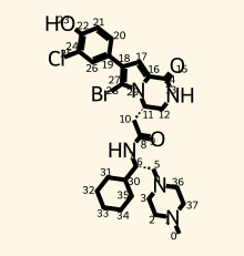 CN1CCN(C[C@@H](NC(=O)C[C@H]2CNC(=O)c3cc(-c4ccc(O)c(Cl)c4)c(Br)n32)C2CCCCC2)CC1